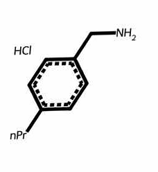 CCCc1ccc(CN)cc1.Cl